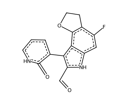 O=Cc1[nH]c2cc(F)c3c(c2c1-c1ccc[nH]c1=O)OCC3